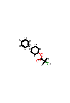 CC(C)(Cl)C(=O)O[C@H]1CC[C@H](c2ccccc2)CC1